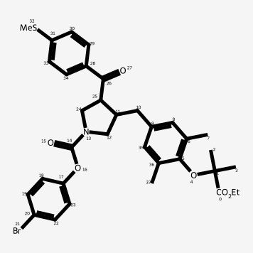 CCOC(=O)C(C)(C)Oc1c(C)cc(CC2CN(C(=O)Oc3ccc(Br)cc3)CC2C(=O)c2ccc(SC)cc2)cc1C